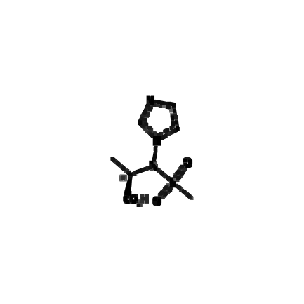 C[C@H](C(=O)O)N(n1ccnc1)S(C)(=O)=O